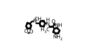 C/C(Nc1ccc(CN(C)Cc2ccc3c(c2)OCO3)cc1)=C1/C(=O)Nc2ccc(N)cc21